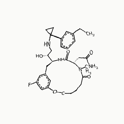 CCc1cccc(C2(NC[C@@H](O)[C@@H]3Cc4cc(F)cc(c4)OCCCCC(=O)N(C)[C@@H](CC(N)=O)C(=O)N3)CC2)c1